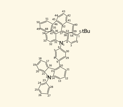 CC(C)(C)c1ccc(N(c2ccc(-c3cccc4c3c3ccccc3n4-c3ccccc3)cc2)c2ccccc2-c2cccc3cccc(-c4ccccc4)c23)cc1